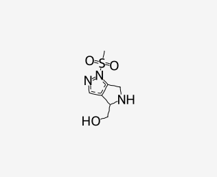 CS(=O)(=O)n1ncc2c1CNC2CO